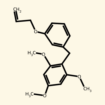 C=CCOc1cccc(Cc2c(OC)cc(OC)cc2OC)c1